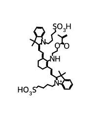 C=C(C)C(=O)OCCNC1=C(C=CC2=[N+](CCCCS(=O)(=O)O)c3ccccc3C2(C)C)CCCC1=CC=C1N(CCCCS(=O)(=O)O)c2ccccc2C1(C)C